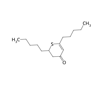 CCCCCC1=CC(=O)CC(CCCCC)S1